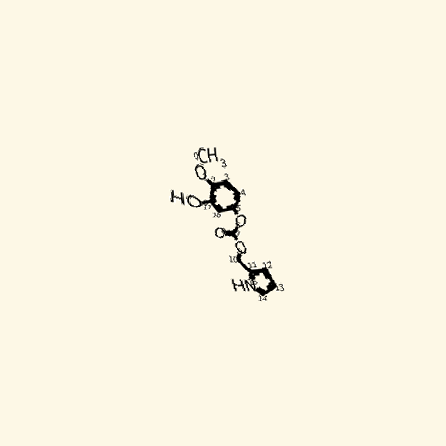 COc1ccc(OC(=O)OCc2ccc[nH]2)cc1O